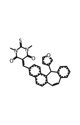 CN1C(=O)C(=Cc2ccc3c4c(ccc3c2)C=Cc2ccccc2C4c2ccoc2)C(=O)N(C)C1=S